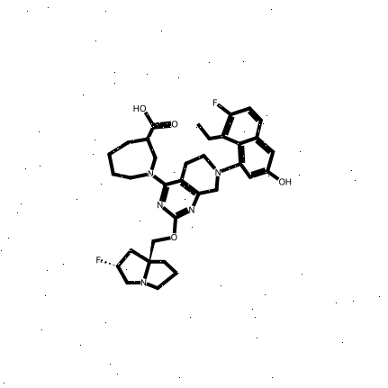 CCc1c(F)ccc2cc(O)cc(N3CCc4c(nc(OC[C@@]56CCCN5C[C@H](F)C6)nc4N4CCCCC(C(=O)O)C4)C3)c12